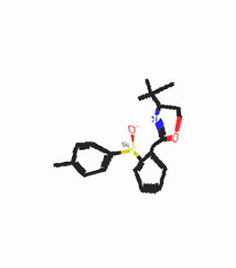 Cc1ccc([S@@+]([O-])c2ccccc2C2=NC(C(C)(C)C)CO2)cc1